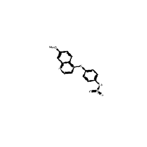 COc1ccc2c(Sc3ccc(N[SH](=O)=O)cc3)ccnc2c1